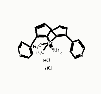 Cl.Cl.[CH3][Zr]([CH3])(=[SiH2])([C]1=C(c2ccncc2)C=CC1)[C]1=C(c2ccncc2)C=CC1